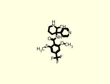 COc1cc(C(F)(F)F)cc(SC)c1C(=O)NC1(c2ccncc2)CCCNC1C